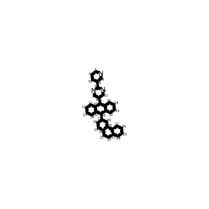 c1cncc(-c2ncc(-c3c4ccccc4c(-c4ccc5ccc6ccccc6c5c4)c4ccccc34)cn2)c1